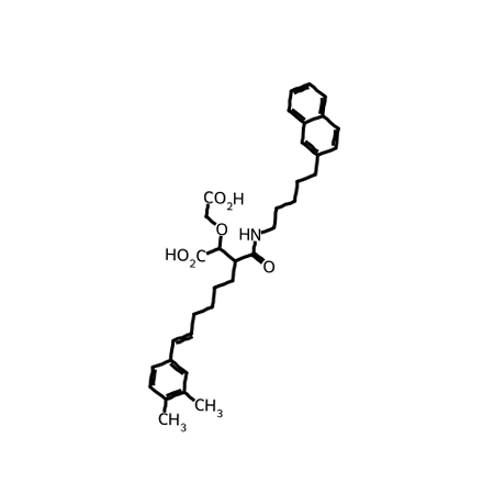 Cc1ccc(C=CCCCCC(C(=O)NCCCCCc2ccc3ccccc3c2)C(OCC(=O)O)C(=O)O)cc1C